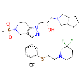 CS(=O)(=O)N1CCc2c(c(-c3ccc(C(F)(F)F)c(SCCN4CCCC(F)(F)C4)c3)nn2C[C@@H](O)CN2CC3CCCC3C2)C1